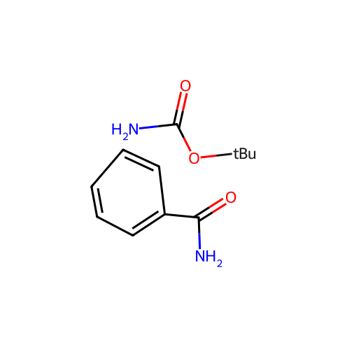 CC(C)(C)OC(N)=O.NC(=O)c1ccccc1